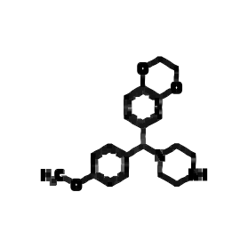 COc1ccc(C(c2ccc3c(c2)OCCO3)N2CCNCC2)cc1